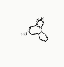 C1=CC2=CN=Cc3nncn3C2C=C1.Cl